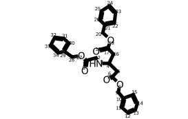 O=C(CNC(CC(=O)OCc1ccccc1)CC(=O)OCc1ccccc1)OCc1ccccc1